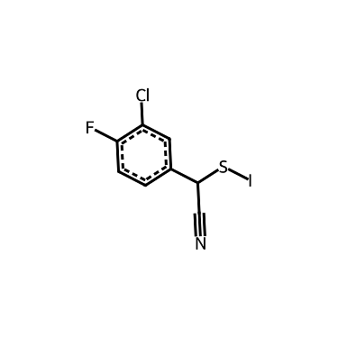 N#CC(SI)c1ccc(F)c(Cl)c1